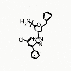 CC(C)(N)C(=O)C[C@H](CCCc1ccccc1)c1nnc2c(-c3ccccc3)cc(Cl)cn12